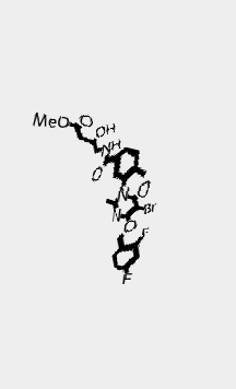 COC(=O)CC(O)CNC(=O)c1ccc(C)c(-n2c(C)nc(OCc3ccc(F)cc3F)c(Br)c2=O)c1